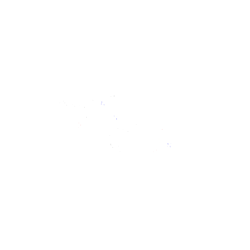 CCn1cc(C(=O)O)c(=O)c2cc([N+](=O)[O-])c(-c3cc(C)c(S(=O)(=O)N4CCCCC4)c(C)c3)nc21